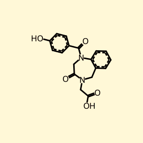 O=C(O)CN1Cc2ccccc2N(C(=O)c2ccc(O)cc2)CC1=O